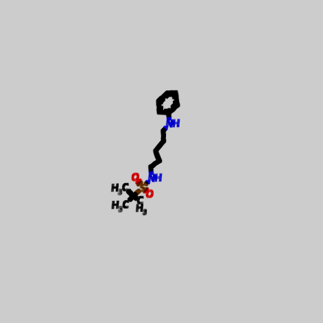 CC(C)(C)S(=O)(=O)NCCCCCNc1ccccc1